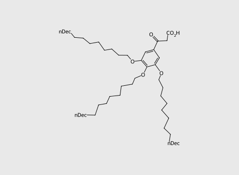 CCCCCCCCCCCCCCCCCCOc1cc(C(=O)CC(=O)O)cc(OCCCCCCCCCCCCCCCCCC)c1OCCCCCCCCCCCCCCCCCC